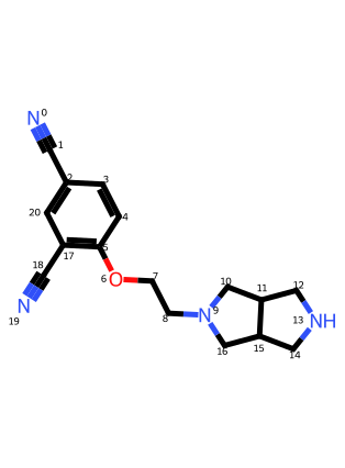 N#Cc1ccc(OCCN2CC3CNCC3C2)c(C#N)c1